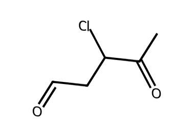 CC(=O)C(Cl)CC=O